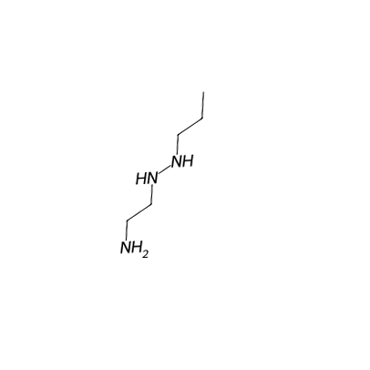 CCCNNCCN